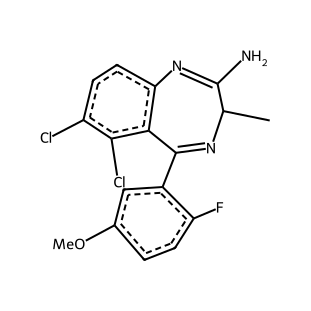 COc1ccc(F)c(C2=NC(C)C(N)=Nc3ccc(Cl)c(Cl)c32)c1